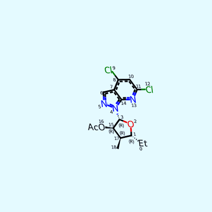 CC[C@H]1O[C@@H](n2ncc3c(Cl)cc(Cl)nc32)[C@H](OC(C)=O)[C@@H]1C